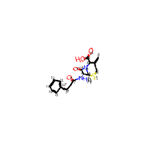 C=C1CS[C@H]2[C@H](NC(=O)Cc3ccccc3)C(=O)N2C1C(=O)O